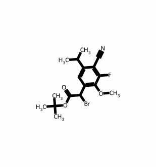 COc1c(C(Br)C(=O)OC(C)(C)C)cc(C(C)C)c(C#N)c1F